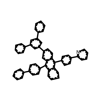 c1ccc(-c2ccc(-c3c4ccccc4c(-c4ccc(-c5ccccn5)cc4)c4ccc(-c5cc(-c6ccccc6)cc(-c6ccccc6)c5)cc34)cc2)cc1